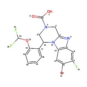 O=C(O)N1Cc2nc3cc(F)c(Br)cc3n2C(c2ccccc2OC(F)F)C1